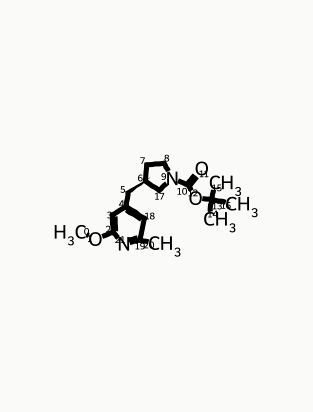 COc1cc(C[C@H]2CCN(C(=O)OC(C)(C)C)C2)cc(C)n1